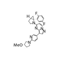 CO[C@H]1CCN(c2ccc(-c3cnn4ccc(N5CC[C@H]6C[C@]65c5cc(F)ccc5F)nc34)cn2)C1